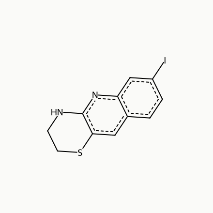 Ic1ccc2cc3c(nc2c1)NCCS3